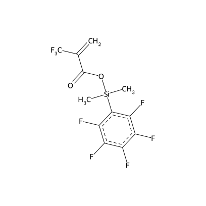 C=C(C(=O)O[Si](C)(C)c1c(F)c(F)c(F)c(F)c1F)C(F)(F)F